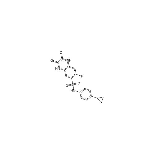 O=c1[nH]c2cc(F)c(S(=O)(=O)Nc3ccc(C4CC4)cc3)cc2[nH]c1=O